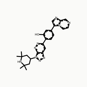 CC1(C)CC(n2nnc3cc(-c4ccc(-c5cnc6cnccn56)cc4O)nnc32)CC(C)(C)N1